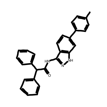 Cc1ccc(-c2ccc3c(NC(=O)C(c4ccccc4)c4ccccc4)n[nH]c3c2)cc1